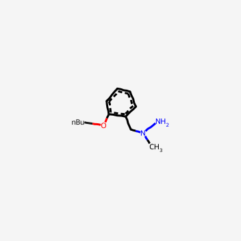 CCCCOc1ccccc1CN(C)N